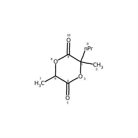 CCCC1(C)OC(=O)C(C)OC1=O